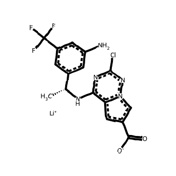 C[C@@H](Nc1nc(Cl)nn2cc(C(=O)[O-])cc12)c1cc(N)cc(C(F)(F)F)c1.[Li+]